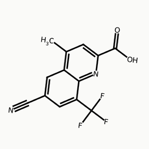 Cc1cc(C(=O)O)nc2c(C(F)(F)F)cc(C#N)cc12